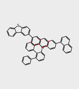 c1ccc(-c2ccccc2-c2c(-c3ccccc3)cccc2N(c2ccc(-c3ccc4sc5ccccc5c4c3)cc2)c2ccc(-c3cccc4ccccc34)cc2)cc1